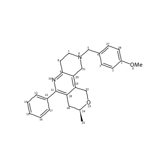 COc1ccc(CN2CCc3nc(-c4ccccc4)c4c(c3C2)CO[C@@H](C)C4)cc1